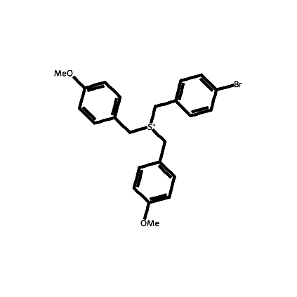 COc1ccc(C[S+](Cc2ccc(Br)cc2)Cc2ccc(OC)cc2)cc1